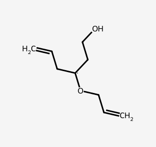 C=CCO[C](CC=C)CCO